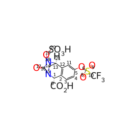 O=C(O)[C@H]1c2ccc(OS(=O)(=O)C(F)(F)F)cc2[C@H]2CN1C(=O)N2OS(=O)(=O)O